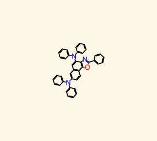 c1ccc(-c2nc3c(N(c4ccccc4)c4ccccc4)cc4cc(N(c5ccccc5)c5ccccc5)ccc4c3o2)cc1